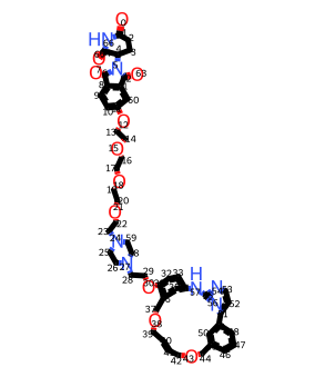 O=C1CCC(N2C(=O)c3ccc(OCCOCCOCCOCCN4CCN(CCOc5ccc6cc5COC/C=C/COCc5cccc(c5)-c5ccnc(n5)N6)CC4)cc3C2=O)C(=O)N1